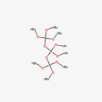 CCCCO[Si](OCCCC)(OCCCC)[O][Zr]([O]CCC)([O]CCC)[O][Si](OCCCC)(OCCCC)OCCCC